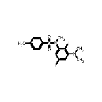 Cc1ccc(S(=O)(=O)N(C)c2cc(I)cc(N(C)C)c2I)cc1